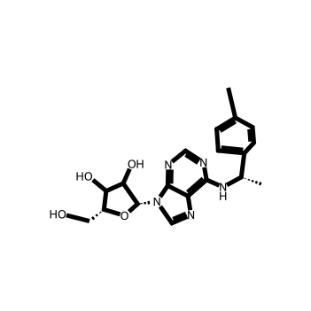 Cc1ccc([C@H](C)Nc2ncnc3c2ncn3[C@@H]2O[C@H](CO)C(O)C2O)cc1